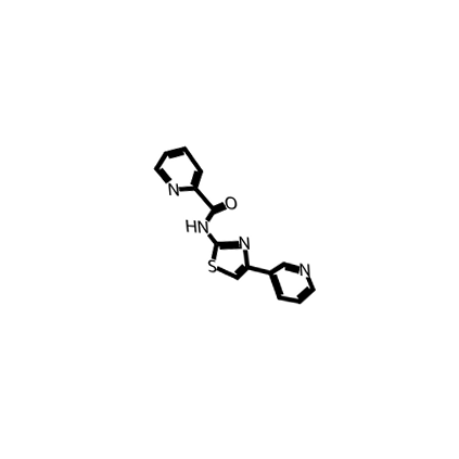 O=C(Nc1nc(-c2cccnc2)cs1)c1ccccn1